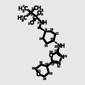 CC(C)(C)S(=O)(=O)NC[C@H]1CC[C@H](Nc2nnc(C3CCOCC3)o2)CC1